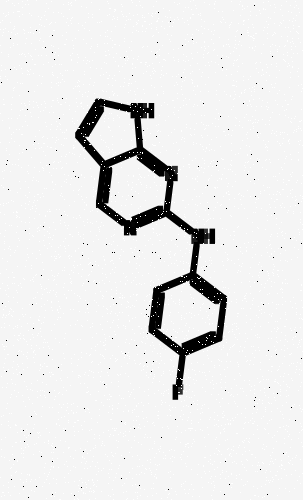 Fc1ccc(Nc2ncc3cc[nH]c3n2)cc1